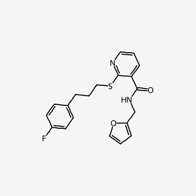 O=C(NCc1ccco1)c1cccnc1SCCCc1ccc(F)cc1